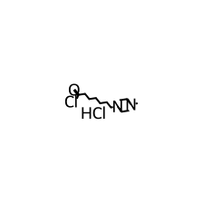 CN1CCN(CCCCCCC(=O)Cl)CC1.Cl